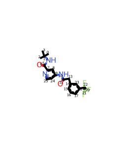 CC(C)(C)NC(=O)c1cc(NC(=O)Cc2cccc(C(F)(F)F)c2)ccn1